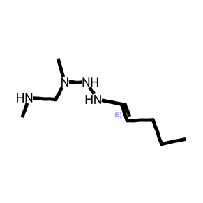 CCC/C=C/NNN(C)CNC